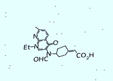 CCn1cc(N(C=O)C2CCC(=CC(=O)O)CC2)c(=O)c2ccc(C)nc21